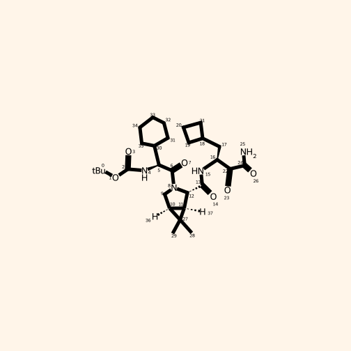 CC(C)(C)OC(=O)N[C@H](C(=O)N1C[C@H]2[C@@H]([C@H]1C(=O)N[C@@H](CC1CCC1)C(=O)C(N)=O)C2(C)C)C1CCCCC1